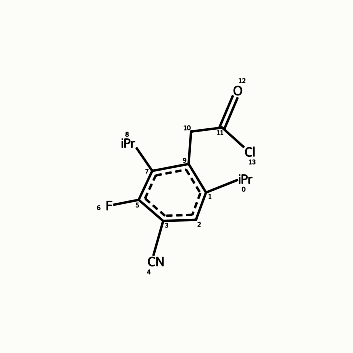 CC(C)c1cc(C#N)c(F)c(C(C)C)c1CC(=O)Cl